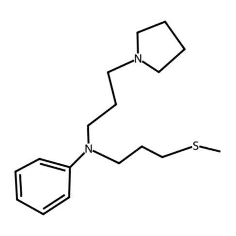 CSCCCN(CCCN1CCCC1)c1ccccc1